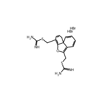 Br.Br.N=C(N)SCC1=C2OC(CSC(=N)N)=C3C=CC=CC32CC=C1